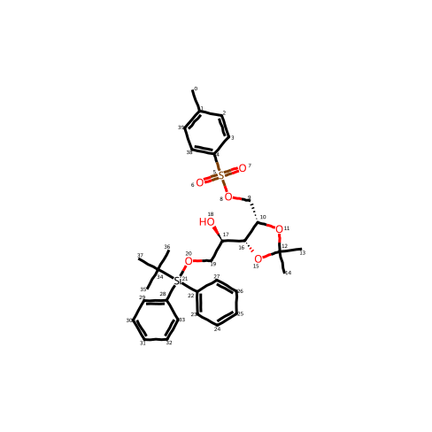 Cc1ccc(S(=O)(=O)OC[C@@H]2OC(C)(C)O[C@@H]2[C@H](O)CO[Si](c2ccccc2)(c2ccccc2)C(C)(C)C)cc1